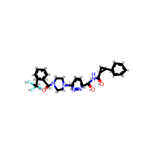 O=C(NC(=O)C1CC1c1ccccc1)c1ccc(N2CCN(C(=O)c3ccccc3C(F)(F)F)CC2)nn1